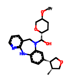 CC(C)O[C@H]1CC[C@H](C(O)N2Cc3cccnc3Nc3ccc([C@@H]4COC[C@@H]4C)cc32)OC1